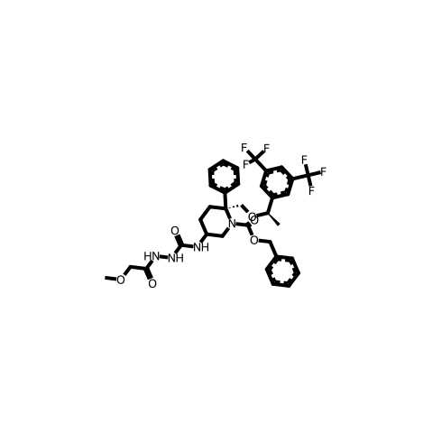 COCC(=O)NNC(=O)NC1CC[C@@](CO[C@H](C)c2cc(C(F)(F)F)cc(C(F)(F)F)c2)(c2ccccc2)N(C(=O)OCc2ccccc2)C1